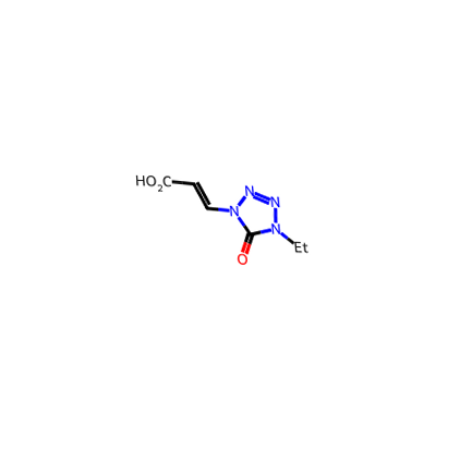 CCn1nnn(C=CC(=O)O)c1=O